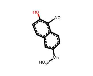 O=Nc1c(O)ccc2c[c]([Mn][S](=O)(=O)O)ccc12